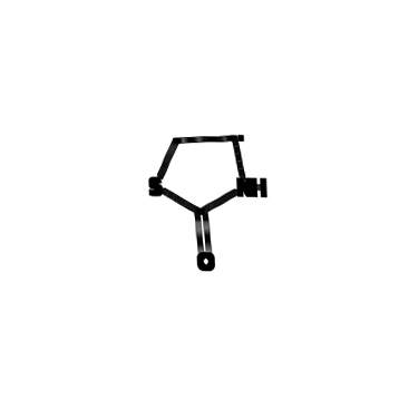 O=C1N[CH]CS1